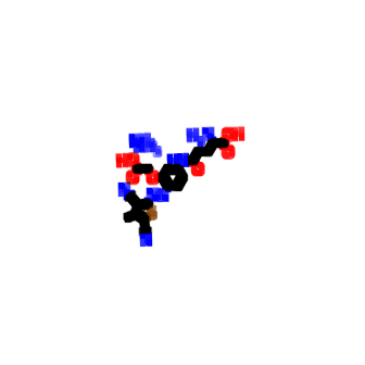 Cc1c(C#N)sc(/N=N/c2ccc(NC(=O)CCC(N)C(=O)O)cc2OCC(=O)O)c1C#N.N.N